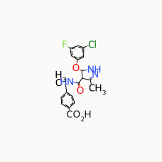 CC1=NNC(Oc2cc(F)cc(Cl)c2)C1C(=O)N[C@@H](C)c1ccc(C(=O)O)cc1